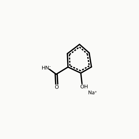 [NH-]C(=O)c1ccccc1O.[Na+]